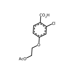 CC(=O)OCCOc1ccc(C(=O)O)c(Cl)c1